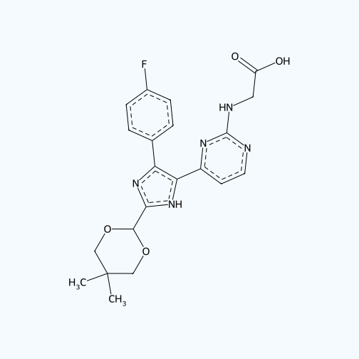 CC1(C)COC(c2nc(-c3ccc(F)cc3)c(-c3ccnc(NCC(=O)O)n3)[nH]2)OC1